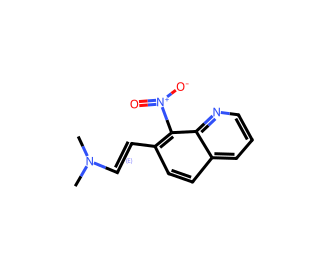 CN(C)/C=C/c1ccc2cccnc2c1[N+](=O)[O-]